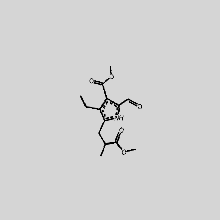 CCc1c(CC(C)C(=O)OC)[nH]c(C=O)c1C(=O)OC